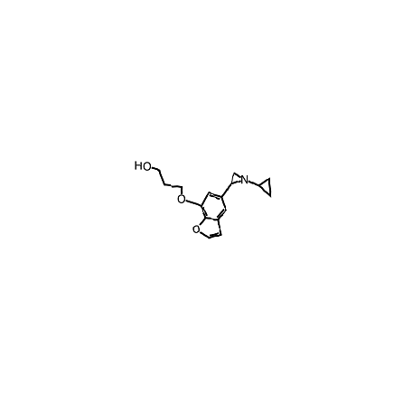 OCCCOc1cc(C2CN2C2CC2)cc2ccoc12